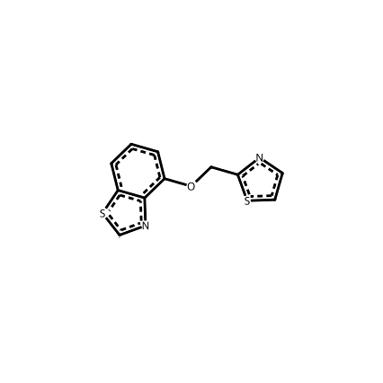 [c]1nc2c(OCc3nccs3)cccc2s1